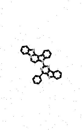 c1ccc(-c2nc(-n3c4ccccc4c4c3ccn3c5ccccc5nc43)nc3c2sc2ccccc23)cc1